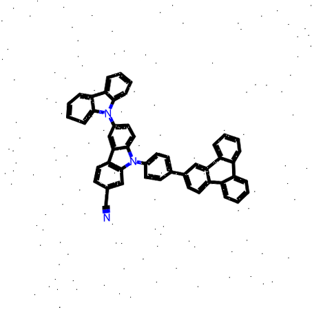 N#Cc1ccc2c3cc(-n4c5ccccc5c5ccccc54)ccc3n(-c3ccc(-c4ccc5c6ccccc6c6ccccc6c5c4)cc3)c2c1